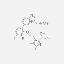 CNCc1cnc2ccc(-c3ccc(F)c(F)c3OCCc3c(C(O)C(C)C)nn(C)c3C)cn12